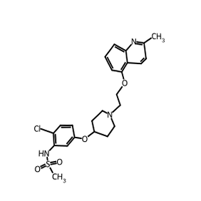 Cc1ccc2c(OCCN3CCC(Oc4ccc(Cl)c(NS(C)(=O)=O)c4)CC3)cccc2n1